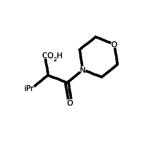 CC(C)C(C(=O)O)C(=O)N1CCOCC1